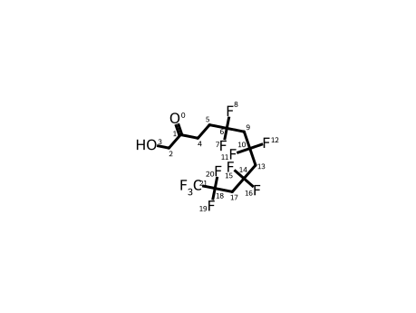 O=C(CO)CCC(F)(F)CC(F)(F)CC(F)(F)CC(F)(F)C(F)(F)F